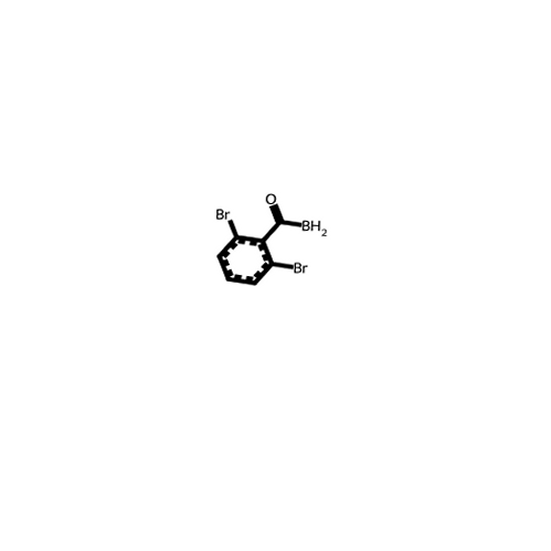 BC(=O)c1c(Br)cccc1Br